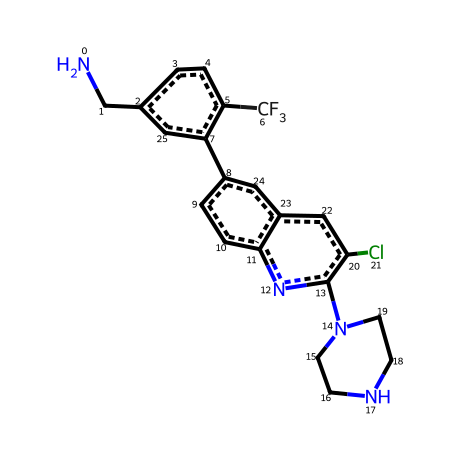 NCc1ccc(C(F)(F)F)c(-c2ccc3nc(N4CCNCC4)c(Cl)cc3c2)c1